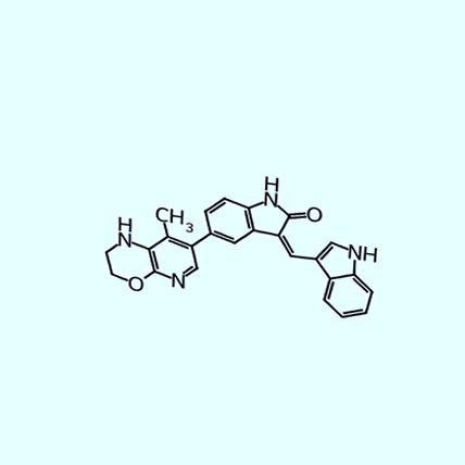 Cc1c(-c2ccc3c(c2)C(=Cc2c[nH]c4ccccc24)C(=O)N3)cnc2c1NCCO2